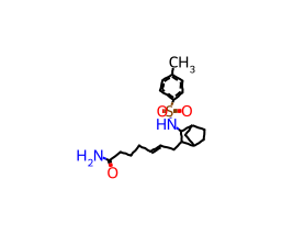 Cc1ccc(S(=O)(=O)NC2C3CCC(C3)C2CC=CCCCC(N)=O)cc1